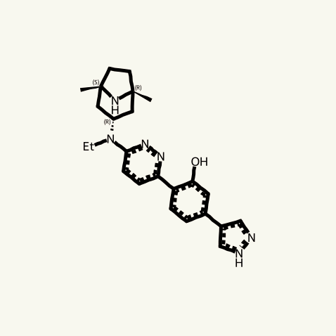 CCN(c1ccc(-c2ccc(-c3cn[nH]c3)cc2O)nn1)[C@@H]1C[C@]2(C)CC[C@](C)(C1)N2